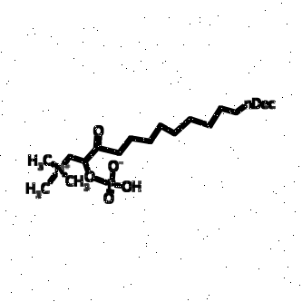 CCCCCCCCCCCCCCCCCCCC(=O)C(C[N+](C)(C)C)OP(=O)([O-])O